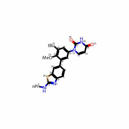 CCCNc1nc2ccc(-c3cc(-n4ccc(=O)[nH]c4=O)cc(C(C)(C)C)c3OC)cc2s1